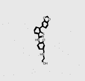 OCCNCc1ccc(Nc2nsc3c(-c4ccc5c(c4)OCO5)cccc23)c(Cl)c1